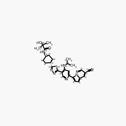 CC(C)Nc1cc(-c2ccc3cc(C#N)cnn23)ncc1-c1nnc([C@H]2CC[C@H](NC(=O)C(C)(C)O)CC2)s1